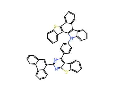 c1ccc2c(c1)cc(-c1nc(-c3ccc(-n4c5ccccc5c5c6ccccc6c6sc7ccccc7c6c54)cc3)c3c(n1)sc1ccccc13)c1ccccc12